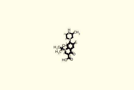 CC1CN(c2cc3c(cc2F)c(=O)c(C(=O)O)cn3C(C)(C)C)CCN1